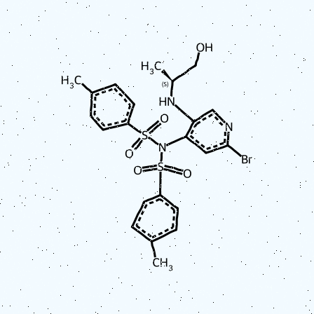 Cc1ccc(S(=O)(=O)N(c2cc(Br)ncc2N[C@@H](C)CO)S(=O)(=O)c2ccc(C)cc2)cc1